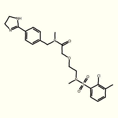 Cc1cccc(S(=O)(=O)N(C)CCOCC(=O)N(C)Cc2ccc(C3=NCCN3)cc2)c1Cl